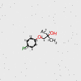 CC(=O)C(C)(O)COc1ccc(F)cc1